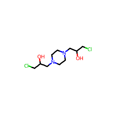 OC(CCl)CN1CCN(CC(O)CCl)CC1